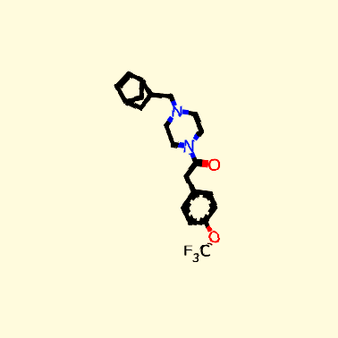 O=C(Cc1ccc(OC(F)(F)F)cc1)N1CCN(CC2CC3C=CC2C3)CC1